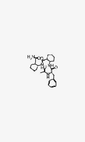 CC(=O)N[C@H](Cc1ccccc1)C(=O)NC1CCCCC1C(=O)NC1CCCCC1C(N)=O